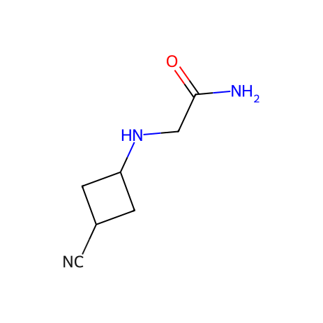 N#CC1CC(NCC(N)=O)C1